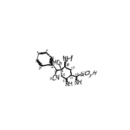 N#CC(c1ccccc1)C1(O)CC(=N)C(C(=N)S(=O)(=O)O)CC1=N